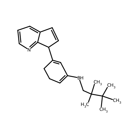 CC(C)(C)C(C)(C)CBC1=CCCC(C2C=Cc3cccnc32)=C1